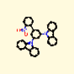 O=[N+]([O-])c1ccccc1-c1cc(-n2c3ccccc3c3ccccc32)cc(-n2c3ccccc3c3ccccc32)c1